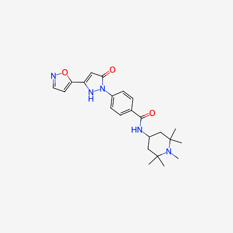 CN1C(C)(C)CC(NC(=O)c2ccc(-n3[nH]c(-c4ccno4)cc3=O)cc2)CC1(C)C